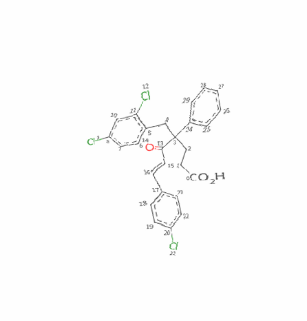 O=C(O)CCC(Cc1ccc(Cl)cc1Cl)(C(=O)C=Cc1ccc(Cl)cc1)c1ccccc1